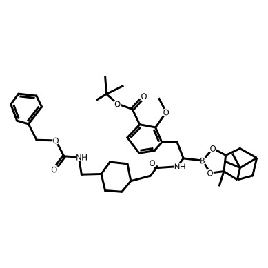 COc1c(CC(NC(=O)CC2CCC(CNC(=O)OCc3ccccc3)CC2)B2OC3CC4CC(C4(C)C)C3(C)O2)cccc1C(=O)OC(C)(C)C